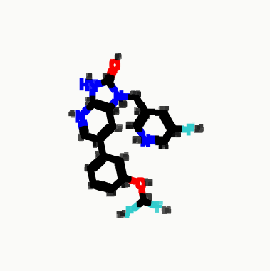 O=c1[nH]c2ncc(-c3cccc(OC(F)F)c3)cc2n1Cc1cncc(F)c1